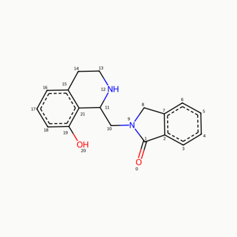 O=C1c2ccccc2CN1CC1NCCc2cccc(O)c21